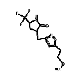 COCCc1noc(CC2CC(C(F)(F)F)NC2=O)n1